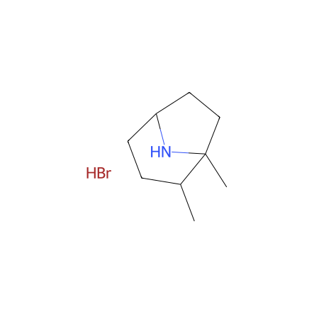 Br.CC1CCC2CCC1(C)N2